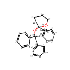 [SiH3]C1(OC(c2ccccc2)(c2ccccc2)c2ccccc2)CCCCO1